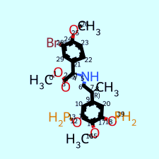 COC(=O)[C@H](NC[C@H](C)c1cc(OP)c(OC)c(OP)c1)c1ccc(OC)c(Br)c1